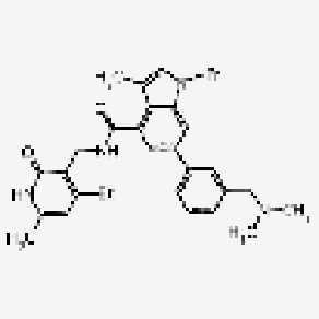 CCc1cc(C)[nH]c(=O)c1CNC(=O)c1cc(-c2cccc(CN(C)C)c2)cc2c1c(C)cn2C(C)C